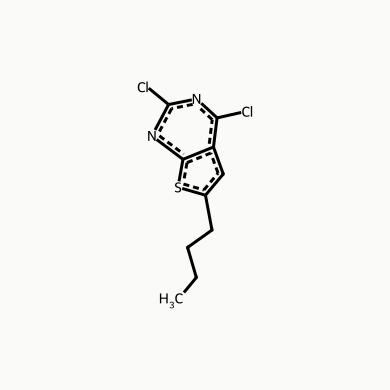 CCCCc1cc2c(Cl)nc(Cl)nc2s1